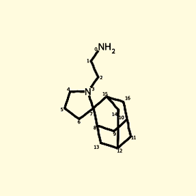 NCCN1CCCC12C1CC3CC(C1)CC2C3